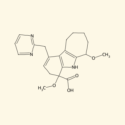 COC1CCCCc2c1[nH]c1c2C(Cc2ncccn2)=CCC1(OC)C(=O)O